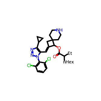 CCCCCCC(CC)C(=O)OC1C(=Cc2c(C3CC3)nnn2-c2c(Cl)cccc2Cl)CC12CCNCC2